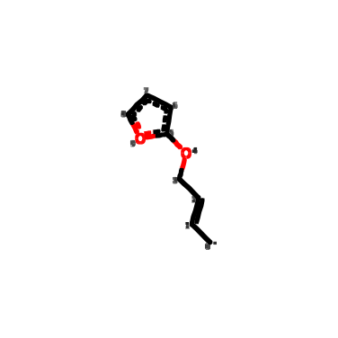 [CH2]C=CCOc1ccco1